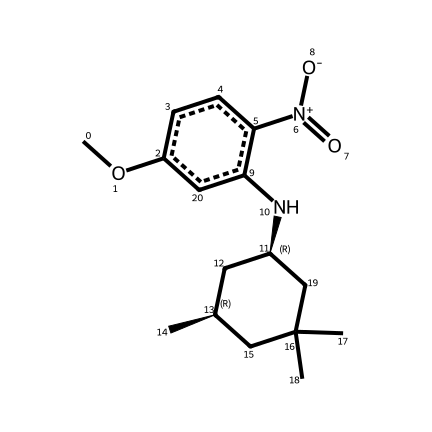 COc1ccc([N+](=O)[O-])c(N[C@@H]2C[C@H](C)CC(C)(C)C2)c1